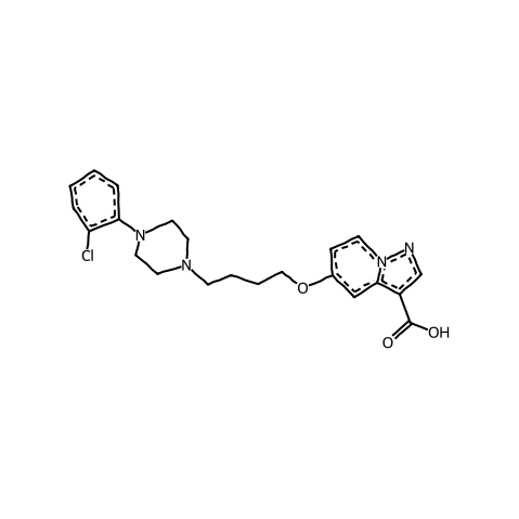 O=C(O)c1cnn2ccc(OCCCCN3CCN(c4ccccc4Cl)CC3)cc12